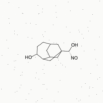 O=N[C@@H](O)C12CC3CCC(O)C(C1)C(C3)C2